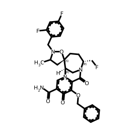 CC1C[C@]2(CC[C@H](CF)N3C[C@H]2n2cc(C(N)=O)c(=O)c(OCc4ccccc4)c2C3=O)ON1Cc1ccc(F)cc1F